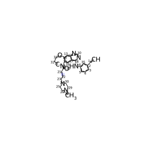 C#Cc1cccc(Nc2ncnc3cc4c(cc23)N(C(=O)/C=C/CN2CCN(C)CC2)CCCO4)c1